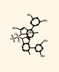 CCCCC1=Cc2c(ccc(C)c2-c2cc(C(C)(C)C)cc(C(C)(C)C)c2)[CH]1[Zr]([Cl])([Cl])([CH]1C(CCCC)=Cc2c1ccc(C)c2-c1cc(C(C)(C)C)cc(C(C)(C)C)c1)[SiH](C)C